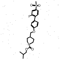 CC(C)COC(=O)N1CCC(COc2ccc(-c3ccc(S(C)(=O)=O)cc3F)cc2)CC1